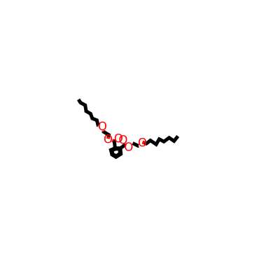 CCCCCCCCOCCOC(=O)c1ccccc1C(=O)OCCOCCCCCCCC